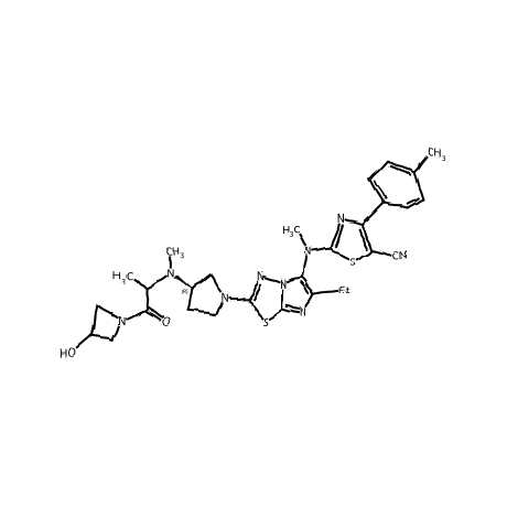 CCc1nc2sc(N3CC[C@@H](N(C)C(C)C(=O)N4CC(O)C4)C3)nn2c1N(C)c1nc(-c2ccc(C)cc2)c(C#N)s1